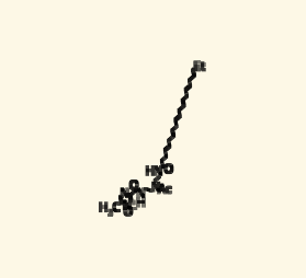 CCC=CCC=CCC=CCC=CCC=CCC=CCCC(=O)NCCN(CCNC(=O)c1c[n+]([O-])c(C)cn1)C(C)=O